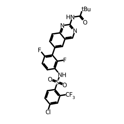 CC(C)(C)C(=O)Nc1ncc2cc(-c3c(F)ccc(NS(=O)(=O)c4ccc(Cl)cc4C(F)(F)F)c3F)ccc2n1